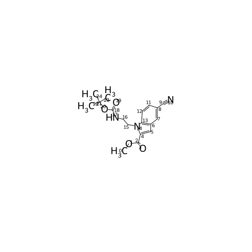 COC(=O)c1cc2cc(C#N)ccc2n1CCNC(=O)OC(C)(C)C